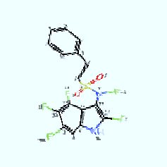 O=S(=O)(C=Cc1ccccc1)N(F)c1c(F)[nH]c2cc(F)c(F)c(F)c12